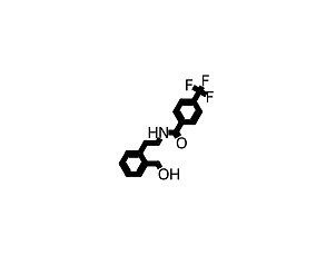 O=C(NCCc1ccccc1CO)c1ccc(C(F)(F)F)cc1